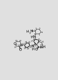 NC1CCCCC1Nc1cc2c(c(Nc3ccc(N4CCOCC4=O)cc3)c1)C(=O)NCC2